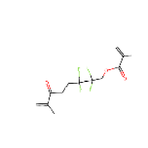 C=C(C)C(=O)CCC(F)(F)C(F)(F)COC(=O)C(=C)C